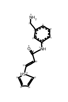 NCc1cccc(NC(=O)C=C[SH]2C=CC=C2)c1